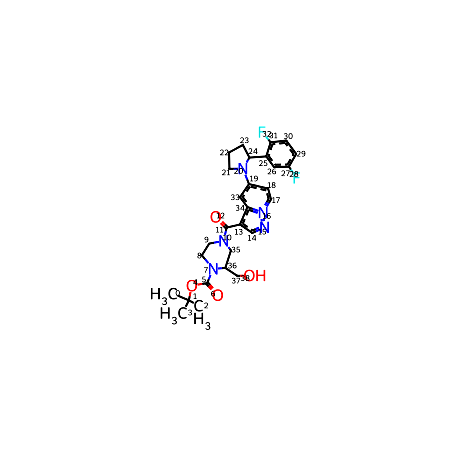 CC(C)(C)OC(=O)N1CCN(C(=O)c2cnn3ccc(N4CCCC4c4cc(F)ccc4F)cc23)CC1CO